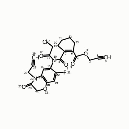 C#CCOC(=O)C1=C(C(=O)N(C(=O)CCl)c2cc3c(cc2F)OCC(=O)N3CC#C)CCCC1